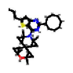 CC=Cc1cc2nc(C3CCCCCCC3)nc(N3C4(C)CC4C4(C5CC5(C)OC5(C)CC54)C4CC43C)c2s1